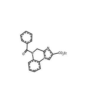 CCOC(=O)c1cn2c(n1)CN(C(=O)c1ccccc1)c1ccccc1-2